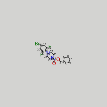 O=C(OCc1ccccc1)N1CCN(c2c(F)cc(Br)cc2F)CC1